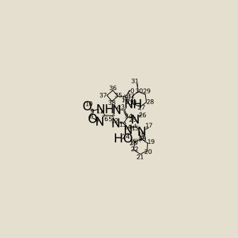 C[C@@H](Nc1nc(-c2noc(=O)[nH]2)nc2nc(N(C)[C@@H]3CCCC[C@@H]3O)n(C[C@H]3CC[C@H](C)CC3)c12)C1CCC1